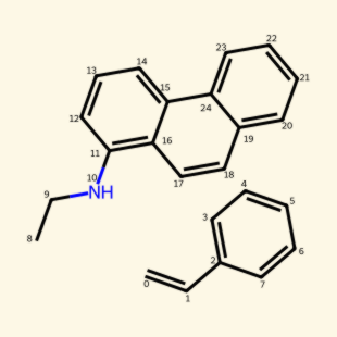 C=Cc1ccccc1.CCNc1cccc2c1ccc1ccccc12